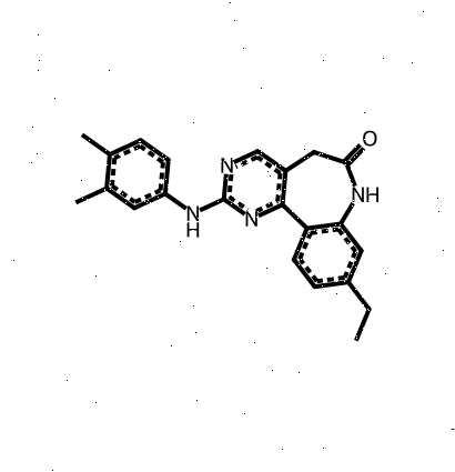 CCc1ccc2c(c1)NC(=O)Cc1cnc(Nc3ccc(C)c(C)c3)nc1-2